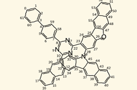 c1ccc(-c2ccc(-c3nc(-c4ccc5ccccc5c4)nc(-c4cc5c(cc4-n4c6ccccc6c6cc7ccccc7cc64)oc4cc6ccccc6cc45)n3)cc2)cc1